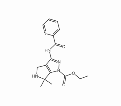 CCOC(=O)n1nc(NC(=O)c2ccccn2)c2c1C(C)(C)NC2